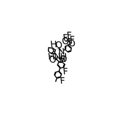 COc1cc(F)c(-c2ccc(C)c(F)c2)cc1C(=O)N[C@@H]1[C@H]2CC[C@H](C2)[C@@H]1C(=O)Nc1cccc(S(=O)(=O)C(F)(F)F)c1